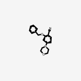 N#Cc1ccc(N2CCOCC2)cc1OCc1ccccc1